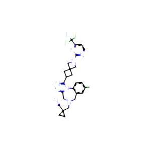 N#CC1(CN2Cc3cc(Cl)ccc3-n3c(nnc3C3CC4(C3)CN(c3nccc(C(F)(F)F)n3)C4)C2)CC1